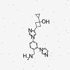 NCc1ccc(-n2cnc(C3CC(O)(C4CC4)C3)c2)cc1-n1ccnc1